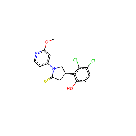 COc1cc(N2C[C@@H](c3c(O)ccc(Cl)c3Cl)CC2=S)ccn1